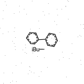 CCC(C)C.c1ccc(-c2ccccc2)cc1